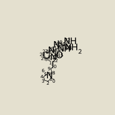 CC1CCC[C@H](C)N1CCCCCn1c(=O)c(-c2ncc(C(=N)N)[nH]2)nc2ccccc21